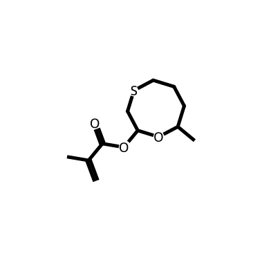 C=C(C)C(=O)OC1CSCCCC(C)O1